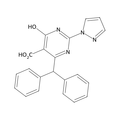 O=C(O)c1c(O)nc(-n2cccn2)nc1C(c1ccccc1)c1ccccc1